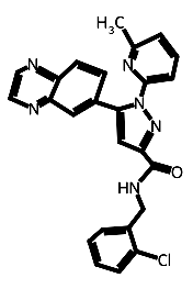 Cc1cccc(-n2nc(C(=O)NCc3ccccc3Cl)cc2-c2ccc3nccnc3c2)n1